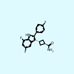 NC(=O)[C@H]1C[C@H](c2c(-c3ccc(F)cc3)[nH]c3c(F)cc(F)cc32)C1